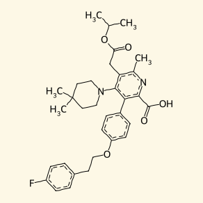 Cc1nc(C(=O)O)c(-c2ccc(OCCc3ccc(F)cc3)cc2)c(N2CCC(C)(C)CC2)c1CC(=O)OC(C)C